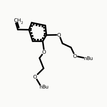 C=Cc1ccc(OCCOCCCC)c(OCCOCCCC)c1